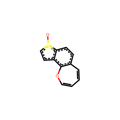 [O-][s+]1ccc2c3c(ccc21)C=CC=CO3